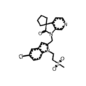 CS(=O)(=O)CCn1c(CN2C(=O)C3(CCCC3)c3ccncc32)cc2cc(Cl)ccc21